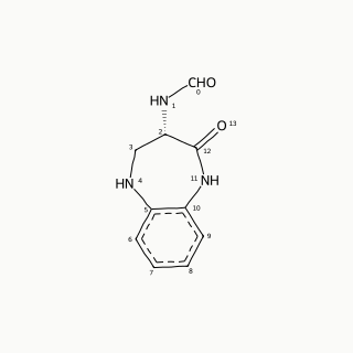 O=CN[C@H]1CNc2ccccc2NC1=O